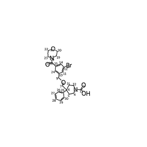 O=C(O)N1CCC(COCc2cc(Br)cc(C(=O)N3CCOCC3)c2)(c2ccccc2)CC1